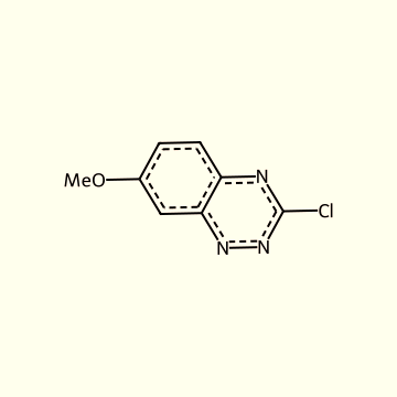 COc1ccc2nc(Cl)nnc2c1